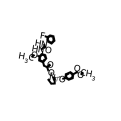 COC(=O)c1ccc(OC[C@@H]2CCCN2OCC(=O)Cc2ccc(NC(=O)Nc3ccccc3F)c(OC)c2)cc1